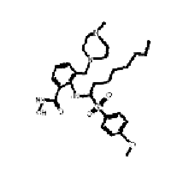 CCCCCCCC(Nc1c(CN2CCN(C)CC2)cccc1C(=O)NO)S(=O)(=O)c1ccc(OC)cc1